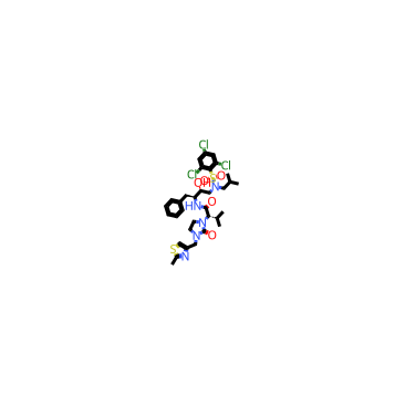 Cc1nc(CN2CCN([C@H](C(=O)N[C@@H](Cc3ccccc3)[C@H](O)CN(CC(C)C)S(=O)(=O)c3c(Cl)cc(Cl)cc3Cl)C(C)C)C2=O)cs1